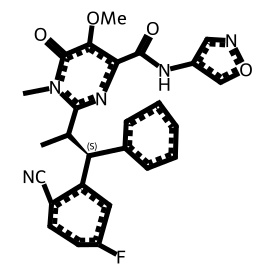 COc1c(C(=O)Nc2cnoc2)nc(C(C)[C@@H](c2ccccc2)c2cc(F)ccc2C#N)n(C)c1=O